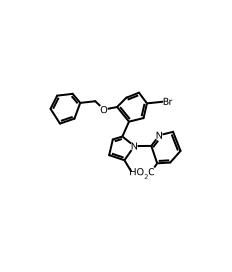 Cc1ccc(-c2cc(Br)ccc2OCc2ccccc2)n1-c1ncccc1C(=O)O